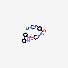 CCN1CCN(Cc2ccc(C(=O)N(C)CCN3CCC(OC(=O)Nc4ccccc4-c4ccccc4)CC3)cc2)CC1